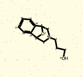 OCCCN1CC2OC(C1)c1ccccc12